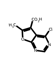 Cc1oc2ncnc(Cl)c2c1C(=O)O